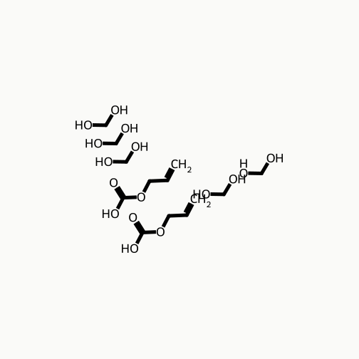 C=CCOC(=O)O.C=CCOC(=O)O.OCO.OCO.OCO.OCO.OCO